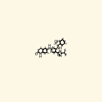 O=C1CCc2cc(Nc3ncc(-c4nc(C(F)F)no4)c(N[C@H](CO)c4ccccc4)n3)ccc2N1